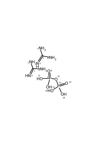 N=C(N)N.N=C(N)N.O=P(O)(O)OP(=O)(O)O